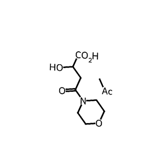 CC(C)=O.O=C(O)C(O)CC(=O)N1CCOCC1